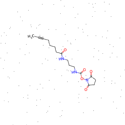 CC#CCCCCC(=O)NCCCNC(=O)ON1C(=O)CCC1=O